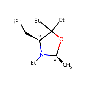 CCN1[C@H](C)OC(CC)(CC)[C@@H]1CC(C)C